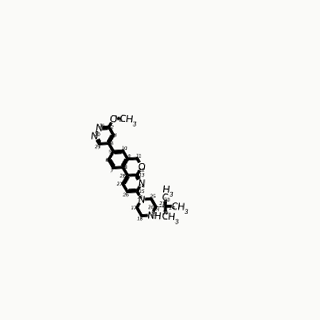 COc1cc(-c2ccc3c(c2)COc2nc(N4CCN[C@@H](C(C)(C)C)C4)ccc2-3)cnn1